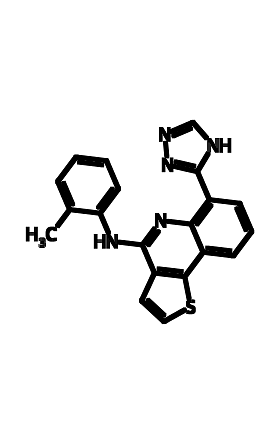 Cc1ccccc1Nc1nc2c(-c3nnc[nH]3)cccc2c2sccc12